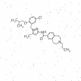 CCCN1CCc2ccc(C(=O)Nc3cc(C)n(Cc4cc(Cl)ccc4OCC(C)C)n3)cc2CC1